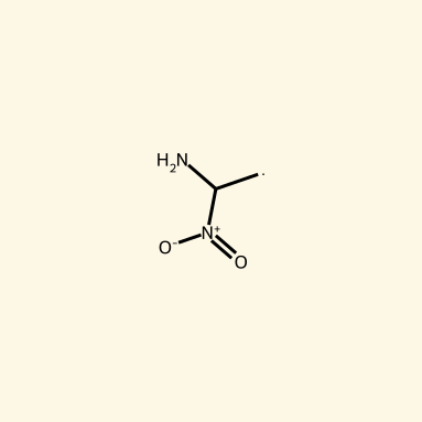 [CH2]C(N)[N+](=O)[O-]